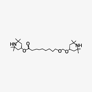 CC1(C)CC(OCOCCCCCCCCC(=O)OC2CC(C)(C)NC(C)(C)C2)CC(C)(C)N1